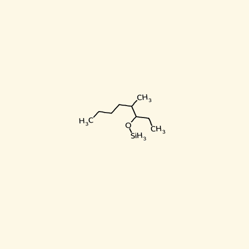 CCCCC(C)C(CC)O[SiH3]